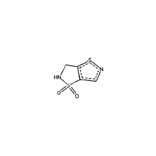 O=S1(=O)NCc2sncc21